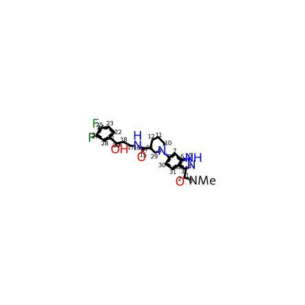 CNC(=O)c1n[nH]c2cc(N3CCCC(C(=O)NCCC(O)c4ccc(F)c(F)c4)C3)ccc12